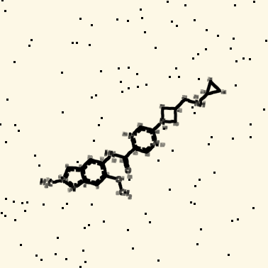 COc1cc2nn(C)cc2cc1NC(=O)c1cnc(N2CC(CNC3CC3)C2)cn1